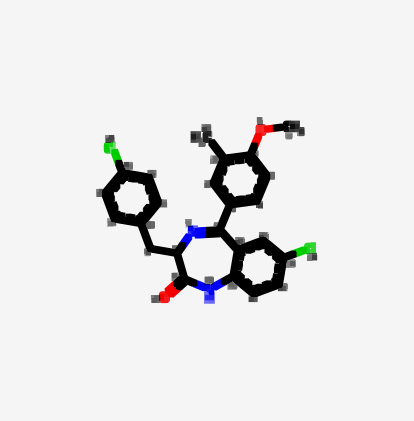 COc1ccc(C2=NC(Cc3ccc(Cl)cc3)C(=O)Nc3ccc(Cl)cc32)cc1C